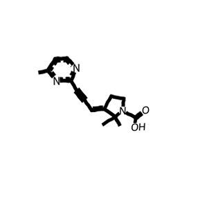 Cc1ccnc(C#C/C=C2\CCN(C(=O)O)C2(C)C)n1